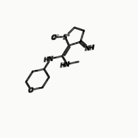 CN/C(NC1CCOCC1)=C1\C(=N)CC[S+]1[O-]